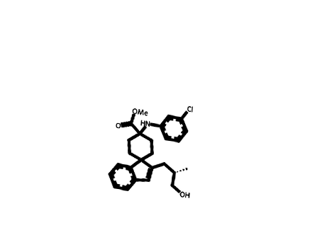 COC(=O)C1(Nc2cccc(Cl)c2)CCC2(CC1)C(C[C@H](C)CO)=Cc1ccccc12